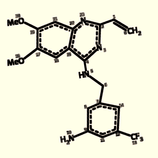 C=Cc1nc(NCc2cc(N)cc(C(F)(F)F)c2)c2cc(OC)c(OC)cc2n1